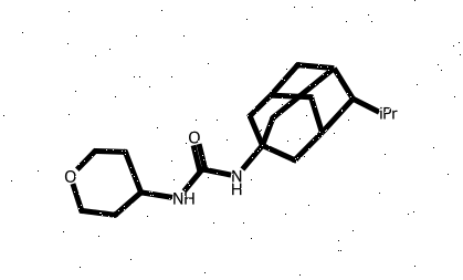 CC(C)C1C2CC3CC1CC(NC(=O)NC1CCOCC1)(C3)C2